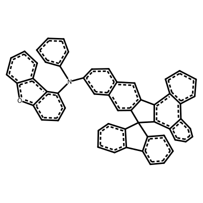 c1ccc(N(c2ccc3cc4c(cc3c2)C2(c3ccccc3-c3ccccc32)c2c-4c3ccccc3c3ccccc23)c2cccc3oc4ccccc4c23)cc1